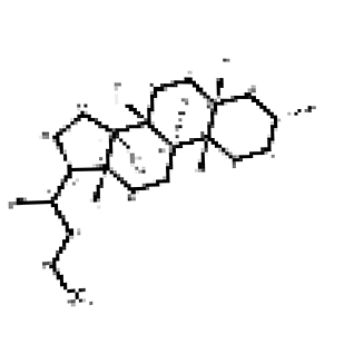 C[C@@H]1CC[C@@]2(C)[C@H](CC[C@@H]3[C@@H]2CC[C@]2(C)[C@@H]([C@H](C)CCC(=O)O)CC[C@@H]32)C1